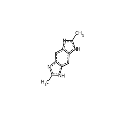 Cc1nc2cc3nc(C)[nH]c3cc2[nH]1